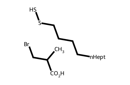 CC(CBr)C(=O)O.CCCCCCCCCCCSS